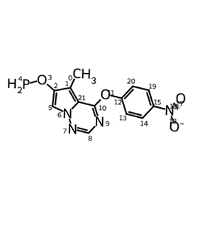 Cc1c(OP)cn2ncnc(Oc3ccc([N+](=O)[O-])cc3)c12